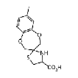 Cc1ccc2c(c1)OCC1(CO2)NC(C(=O)O)CS1